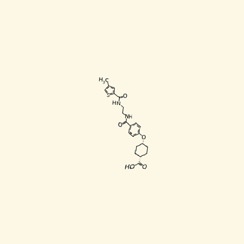 Cc1csc(C(=O)NCCNC(=O)c2ccc(O[C@H]3CC[C@@H](C(=O)O)CC3)cc2)c1